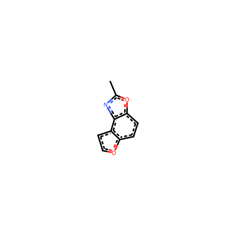 Cc1nc2c(ccc3occc32)o1